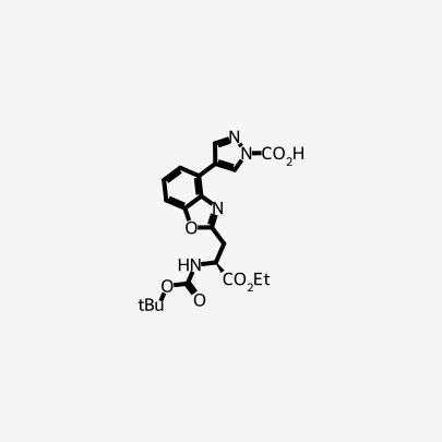 CCOC(=O)[C@H](Cc1nc2c(-c3cnn(C(=O)O)c3)cccc2o1)NC(=O)OC(C)(C)C